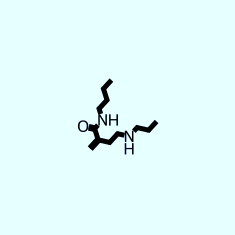 C=C(CCNCCC)C(=O)NCCCC